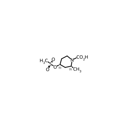 C[C@H]1C[C@@H](OS(C)(=O)=O)CCN1C(=O)O